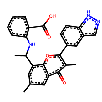 Cc1cc(C(C)Nc2ccccc2C(=O)O)c2oc(-c3ccc4[nH]ncc4c3)c(C)c(=O)c2c1